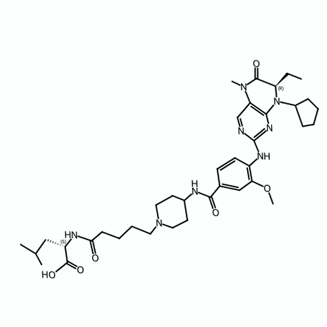 CC[C@@H]1C(=O)N(C)c2cnc(Nc3ccc(C(=O)NC4CCN(CCCCC(=O)N[C@@H](CC(C)C)C(=O)O)CC4)cc3OC)nc2N1C1CCCC1